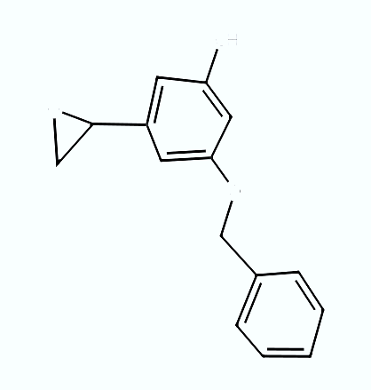 Cc1cc(OCc2ccccc2)cc(C2CO2)c1